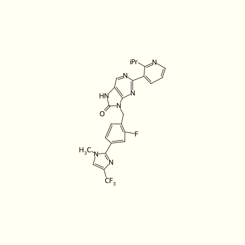 CC(C)c1ncccc1-c1ncc2[nH]c(=O)n(Cc3ccc(-c4nc(C(F)(F)F)cn4C)cc3F)c2n1